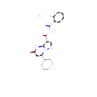 COc1ccccc1C(=N)NC(=O)c1cnn2c(C3CCNCC3)cc(=O)[nH]c12